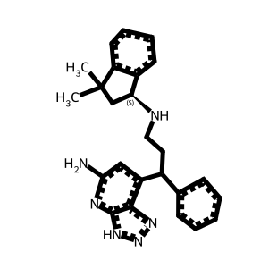 CC1(C)C[C@H](NCCC(c2ccccc2)c2cc(N)nc3[nH]nnc23)c2ccccc21